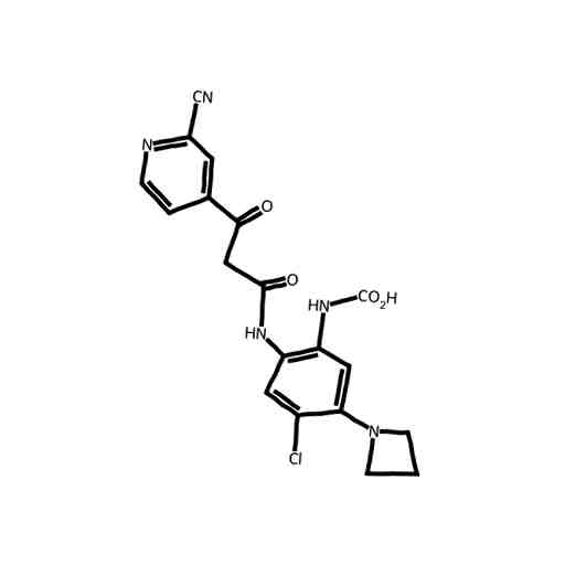 N#Cc1cc(C(=O)CC(=O)Nc2cc(Cl)c(N3CCC3)cc2NC(=O)O)ccn1